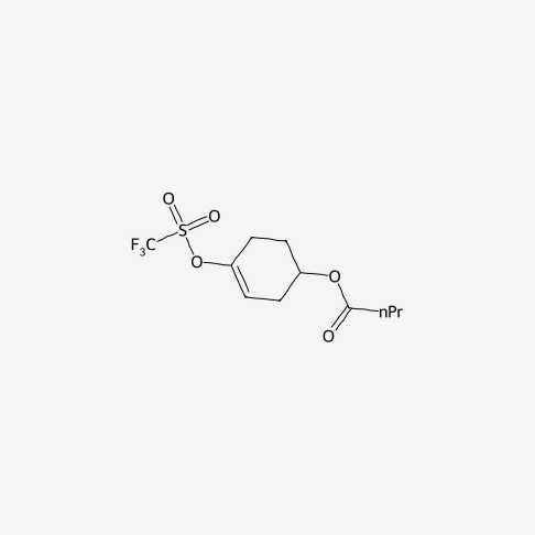 CCCC(=O)OC1CC=C(OS(=O)(=O)C(F)(F)F)CC1